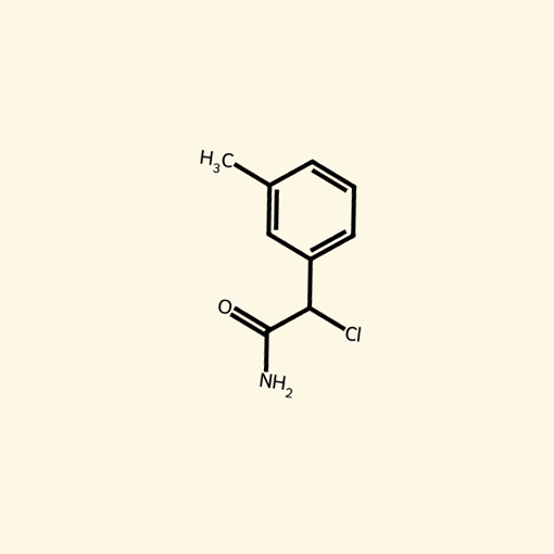 Cc1cccc(C(Cl)C(N)=O)c1